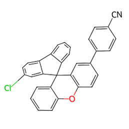 N#Cc1ccc(-c2ccc3c(c2)C2(c4ccccc4O3)c3ccccc3-c3ccc(Cl)cc32)cc1